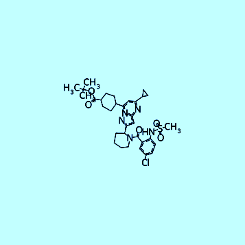 CC(C)(C)OC(=O)C1CCC(c2cc(C3CC3)nc3cc([C@@H]4CCCCN4C(=O)c4cc(Cl)ccc4NS(C)(=O)=O)nn23)CC1